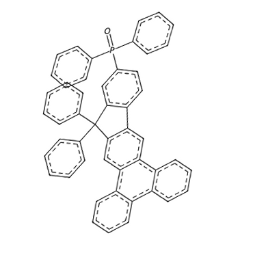 O=P(c1ccccc1)(c1ccccc1)c1ccc2c(c1)C(c1ccccc1)(c1ccccc1)c1cc3c4ccccc4c4ccccc4c3cc1-2